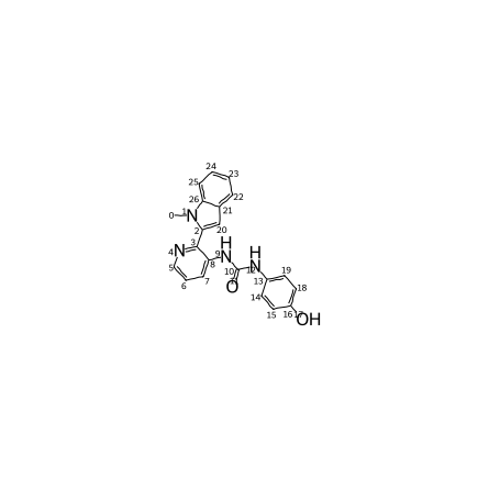 Cn1c(-c2ncccc2NC(=O)Nc2ccc(O)cc2)cc2ccccc21